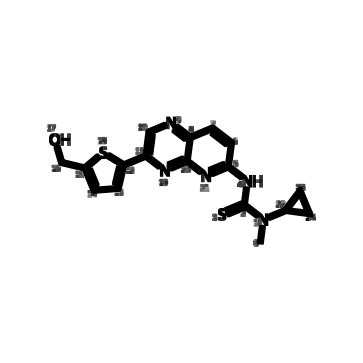 CN(C(=S)Nc1ccc2ncc(-c3ccc(CO)s3)nc2n1)C1CC1